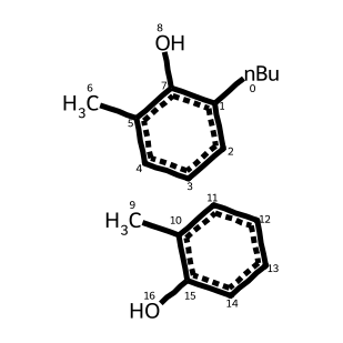 CCCCc1cccc(C)c1O.Cc1ccccc1O